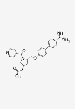 N=C(N)c1ccc(-c2ccc(OC[C@@H]3C[C@@H](CC(=O)O)CN3C(=O)c3ccncc3)cc2)cc1